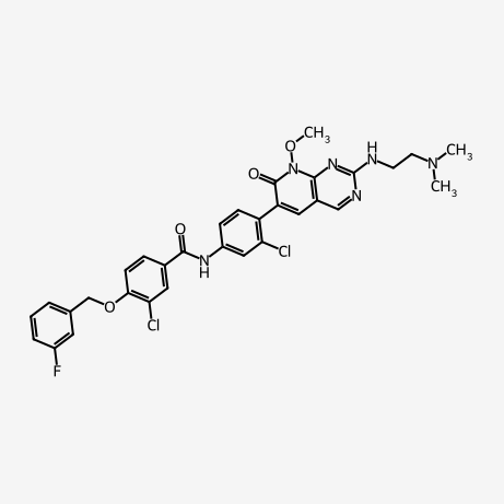 COn1c(=O)c(-c2ccc(NC(=O)c3ccc(OCc4cccc(F)c4)c(Cl)c3)cc2Cl)cc2cnc(NCCN(C)C)nc21